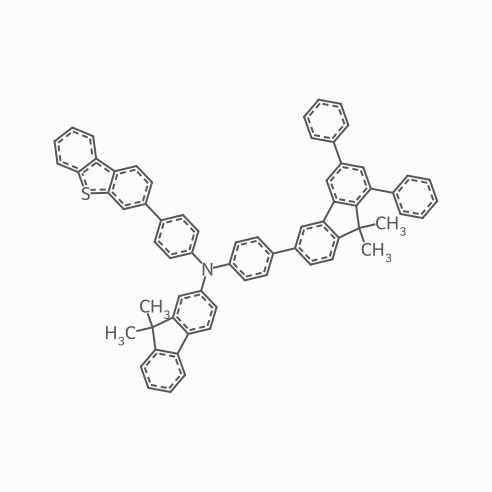 CC1(C)c2ccccc2-c2ccc(N(c3ccc(-c4ccc5c(c4)-c4cc(-c6ccccc6)cc(-c6ccccc6)c4C5(C)C)cc3)c3ccc(-c4ccc5c(c4)sc4ccccc45)cc3)cc21